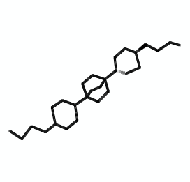 CCCCC1CCC(C23CCC([C@H]4CC[C@H](CCCC)CC4)(CC2)CC3)CC1